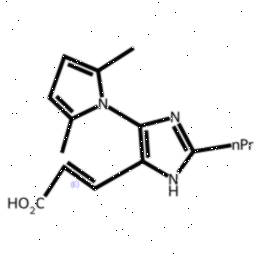 CCCc1nc(-n2c(C)ccc2C)c(/C=C/C(=O)O)[nH]1